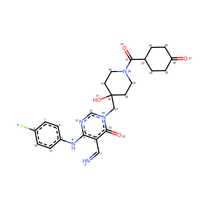 N=Cc1c(Nc2ccc(F)cc2)ncn(CC2(O)CCN(C(=O)C3CCC(=O)CC3)CC2)c1=O